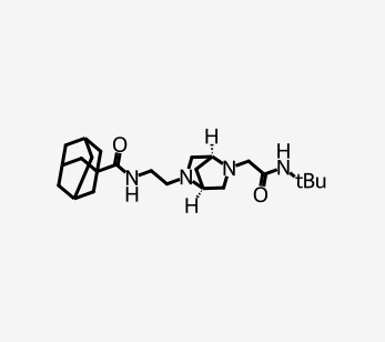 CC(C)(C)NC(=O)CN1C[C@@H]2C[C@H]1CN2CCNC(=O)C12CC3CC(CC(C3)C1)C2